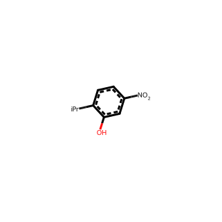 CC(C)c1ccc([N+](=O)[O-])cc1O